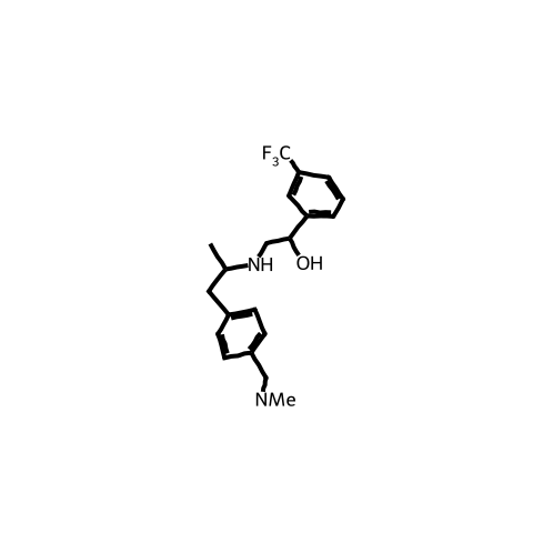 CNCc1ccc(CC(C)NCC(O)c2cccc(C(F)(F)F)c2)cc1